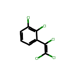 ClC(Cl)=C(Cl)c1cccc(Cl)c1Cl